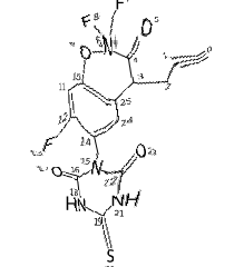 C#CCC1C(=O)[N+](F)(F)Oc2cc(F)c(-n3c(=O)[nH]c(=S)[nH]c3=O)cc21